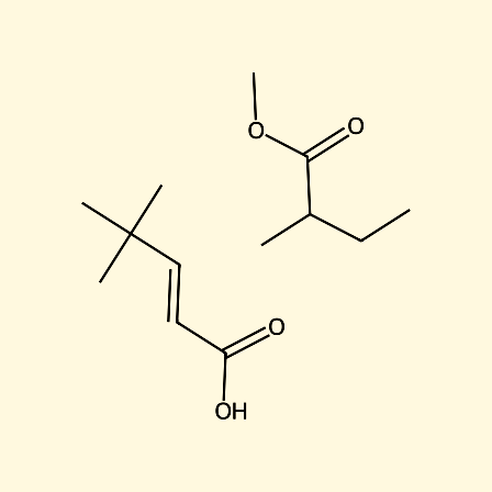 CC(C)(C)C=CC(=O)O.CCC(C)C(=O)OC